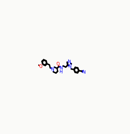 COc1cccc(CCN2CCCC(C(=O)NCCc3cncn3Cc3ccc(C#N)cc3)C2)c1